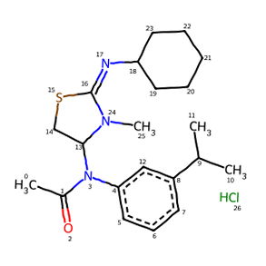 CC(=O)N(c1cccc(C(C)C)c1)C1CSC(=NC2CCCCC2)N1C.Cl